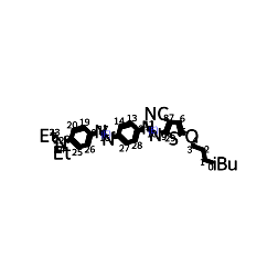 CCC(C)CCCOc1cc(C#N)c(/N=N/c2ccc(/N=N/c3ccc(N(CC)CC)cc3)cc2)s1